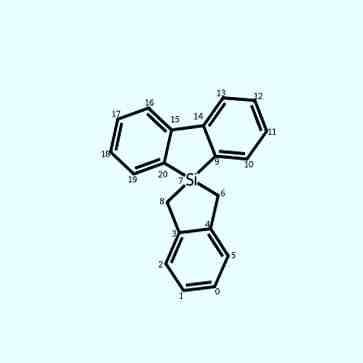 c1ccc2c(c1)C[Si]1(C2)c2ccccc2-c2ccccc21